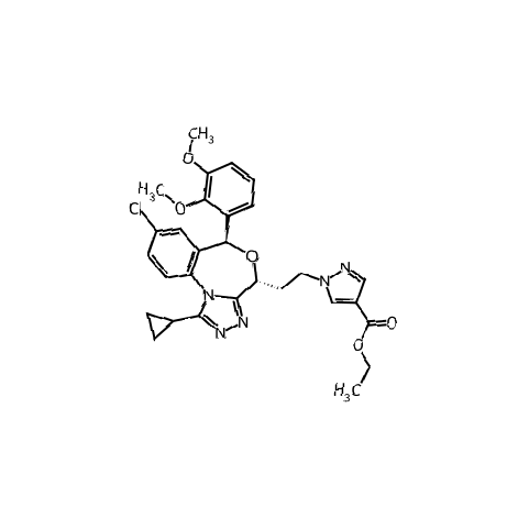 CCOC(=O)c1cnn(CC[C@H]2O[C@H](c3cccc(OC)c3OC)c3cc(Cl)ccc3-n3c(C4CC4)nnc32)c1